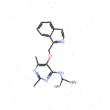 CCCC(CCC)Nc1nc(C)nc(C)c1OCc1nccc2ccccc12